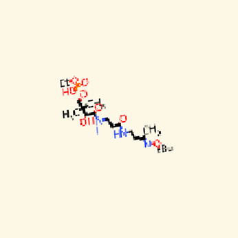 CCOP(=O)(O)OCC(C)(C)[C@H](O)C(=O)NCCC(=O)NCC/C(C)=N/OC(C)(C)C